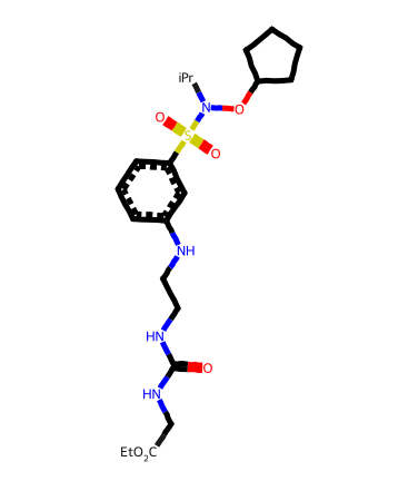 CCOC(=O)CNC(=O)NCCNc1cccc(S(=O)(=O)N(OC2CCCC2)C(C)C)c1